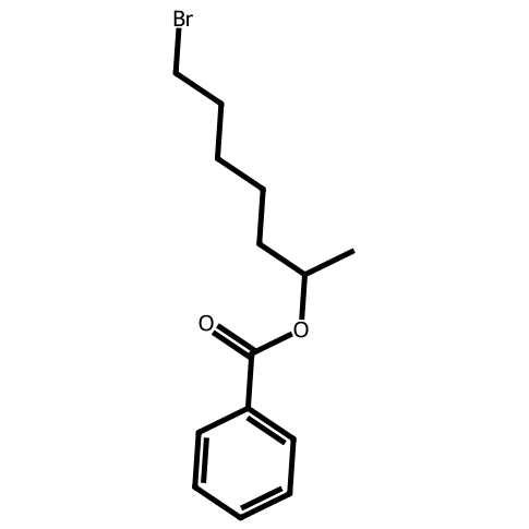 CC(CCCCCBr)OC(=O)c1ccccc1